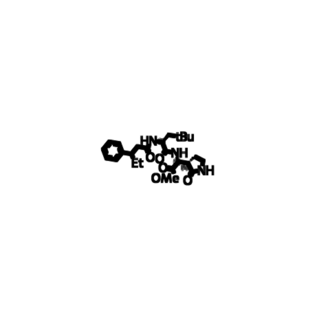 CCC(CC(=O)N[C@@H](CC(C)(C)C)C(=O)N[C@H](C(=O)OC)[C@@H]1CCNC1=O)c1ccccc1